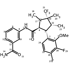 COc1c([C@@H]2[C@@H](C(=O)Nc3ccnc(C(N)=O)c3)N(C)[C@](C)(C(F)(F)F)[C@@H]2C)ccc(F)c1F